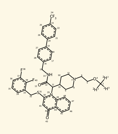 [2H]C([2H])([2H])OCCN1CCC(C(C(=O)NCc2ccc(-c3ccc(C(F)(F)F)cc3)cc2)n2c(SCc3cccc(F)c3F)cc(=O)c3ccccc32)CC1